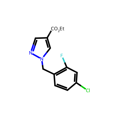 CCOC(=O)c1cnn(Cc2ccc(Cl)cc2F)c1